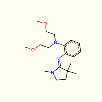 COCCN(CCOC)c1ccccc1/N=C1/N(C)CCC1(C)C